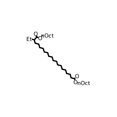 CCCCCCCCOC(=O)CCCCCCCCCCCCCCCCCC(CC)C(=O)OCCCCCCCC